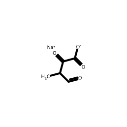 CC(C=O)C(=O)C(=O)[O-].[Na+]